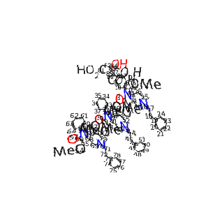 COCC(=O)N(c1ccccc1)C1(COC)CCN(CCc2ccccc2)CC1.COCC(=O)N(c1ccccc1)C1(COC)CCN(CCc2ccccc2)CC1.COCC(=O)N(c1ccccc1)C1(COC)CCN(CCc2ccccc2)CC1.O=C(O)CC(O)(CC(=O)O)C(=O)O